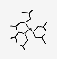 CC(C)CN(CC(C)C)[SiH](N(CC(C)C)CC(C)C)N(CC(C)C)CC(C)C